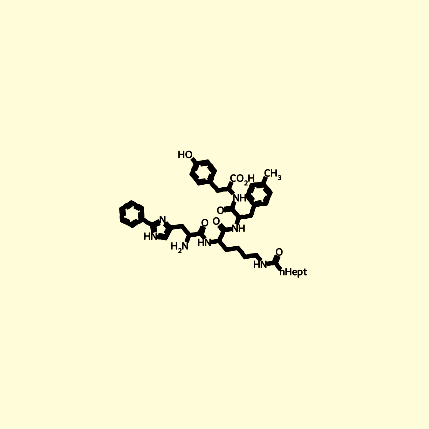 CCCCCCCC(=O)NCCCCC(NC(=O)C(N)Cc1c[nH]c(-c2ccccc2)n1)C(=O)NC(Cc1ccc(C)cc1)C(=O)NC(Cc1ccc(O)cc1)C(=O)O